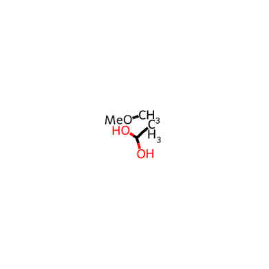 CC(O)O.COC